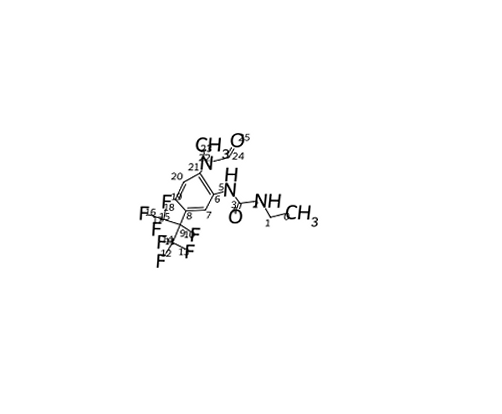 CCNC(=O)Nc1cc(C(F)(C(F)(F)F)C(F)(F)F)ccc1N(C)C=O